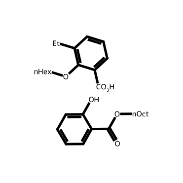 CCCCCCCCOC(=O)c1ccccc1O.CCCCCCOc1c(CC)cccc1C(=O)O